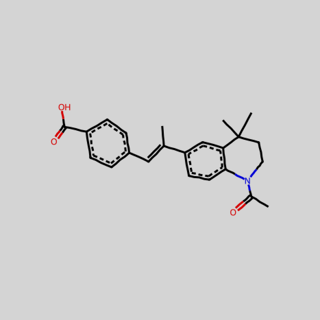 CC(=O)N1CCC(C)(C)c2cc(/C(C)=C/c3ccc(C(=O)O)cc3)ccc21